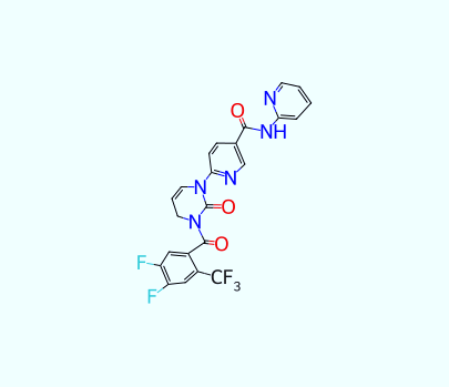 O=C(Nc1ccccn1)c1ccc(N2C=CCN(C(=O)c3cc(F)c(F)cc3C(F)(F)F)C2=O)nc1